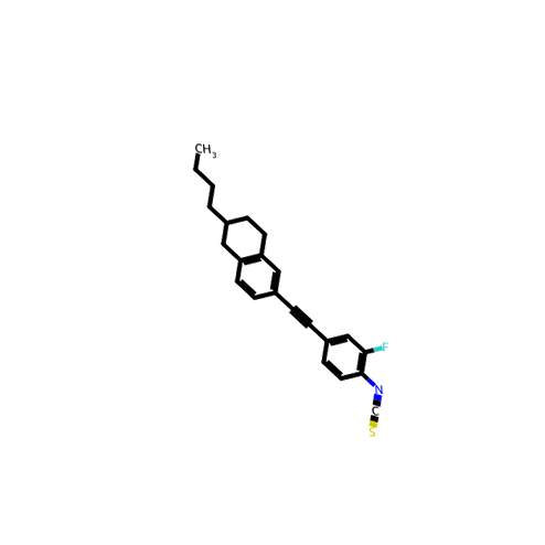 CCCCC1CCc2cc(C#Cc3ccc(N=C=S)c(F)c3)ccc2C1